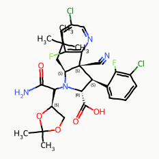 CC(C)(C)C[C@@H]1N(C(C(N)=O)[C@H]2COC(C)(C)O2)[C@@H](C(=O)O)[C@H](c2cccc(Cl)c2F)[C@@]1(C#N)c1ncc(Cl)cc1F